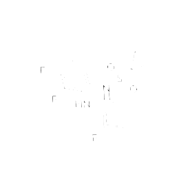 Cc1ccc(Nc2c(NS(=O)(=O)C3CC3)ccc(F)c2F)c(F)c1